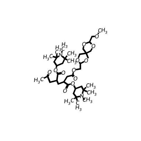 COCC1OCC2(CO1)COC(COC(=O)CC(CC(CC(C)=O)C(=O)OC1CC(C)(C)N(C)C(C)(C)C1)C(=O)OC1CC(C)(C)N(C)C(C)(C)C1)OC2